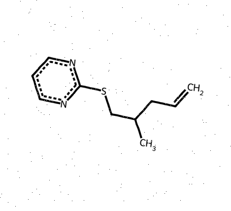 C=CCC(C)CSc1ncccn1